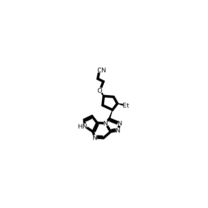 CC[C@@H]1C[C@H](OCCC#N)C[C@@H]1c1nnc2cnc3[nH]ccc3n12